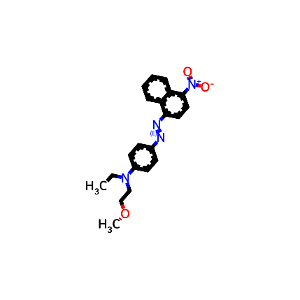 CCN(CCOC)c1ccc(/N=N/c2ccc([N+](=O)[O-])c3ccccc23)cc1